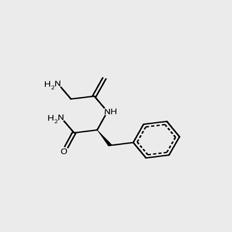 C=C(CN)N[C@@H](Cc1ccccc1)C(N)=O